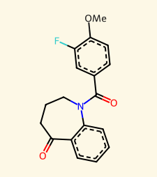 COc1ccc(C(=O)N2CCCC(=O)c3ccccc32)cc1F